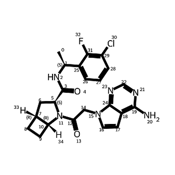 C[C@H](NC(=O)[C@@H]1C[C@H]2CC[C@H]2N1C(=O)Cn1ccc2c(N)ncnc21)c1cccc(Cl)c1F